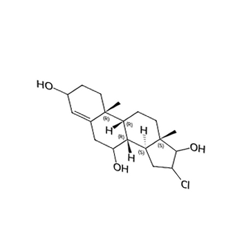 C[C@]12CCC(O)C=C1CC(O)[C@@H]1[C@H]2CC[C@]2(C)C(O)C(Cl)C[C@@H]12